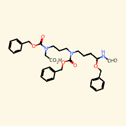 O=CNC(CCCN(CCCN(CC(=O)O)C(=O)OCc1ccccc1)C(=O)OCc1ccccc1)OCc1ccccc1